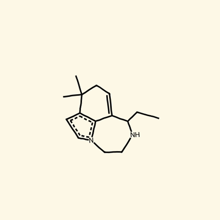 CCC1NCCn2ccc3c2C1=CCC3(C)C